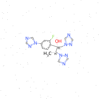 C[C@@H](n1cncn1)[C@](O)(Cn1cncn1)c1ccc(-n2cncn2)cc1F